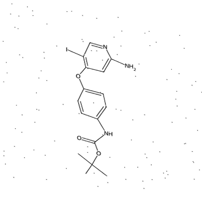 CC(C)(C)OC(=O)Nc1ccc(Oc2cc(N)ncc2I)cc1